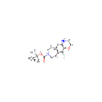 CC(C)(C)OC(=O)N1CCc2cc3c(c(Cl)c2CC1)OCCN3